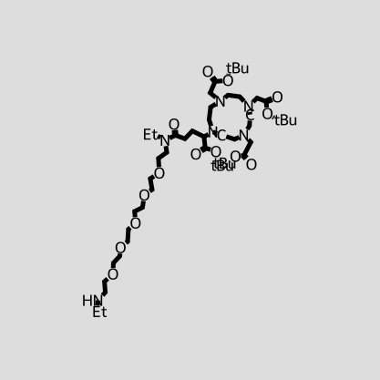 CCNCCOCCOCCOCCOCCOCCN(CC)C(=O)CCC(C(=O)OC(C)(C)C)N1CCN(CC(=O)OC(C)(C)C)CCN(CC(=O)OC(C)(C)C)CCN(CC(=O)OC(C)(C)C)CC1